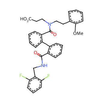 COc1ccccc1CCN(CCC(=O)O)C(=O)c1ccccc1-c1ccccc1C(=O)NCc1c(F)cccc1F